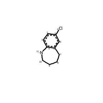 Clc1ccc2c(c1)CCCC[N]2